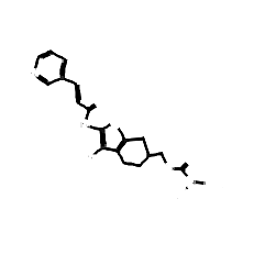 CN(C)C(=O)OCC1CCc2c(sc(NC(=O)/C=C/c3cccnc3)c2N)C1